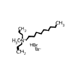 Br.C=CC[N+](C)(CC=C)CCCCCCCCCC.[Br-]